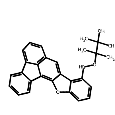 CC(C)(O)C(C)(C)OBc1cccc2oc3c4c5c(cccc5cc3c12)-c1ccccc1-4